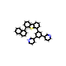 c1cncc(-c2cc(-c3cccnc3)cc(-c3cccc4c3sc3c(-c5cccc6ccccc56)cccc34)c2)c1